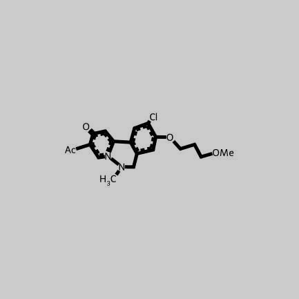 COCCCOc1cc2c(cc1Cl)-c1cc(=O)c(C(C)=O)cn1N(C)C2